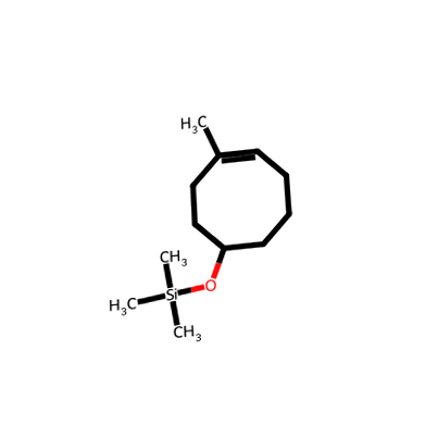 C/C1=C/CCCC(O[Si](C)(C)C)CC1